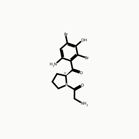 NCC(=O)N1CCC[C@H]1C(=O)c1c(N)cc(Br)c(O)c1Br